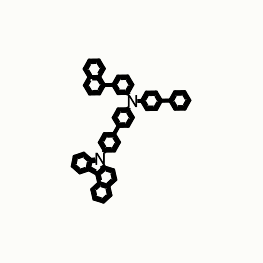 c1ccc(-c2ccc(N(c3ccc(-c4ccc(-n5c6ccccc6c6c7ccccc7ccc65)cc4)cc3)c3cccc(-c4cccc5ccccc45)c3)cc2)cc1